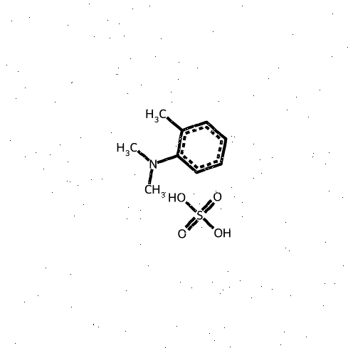 Cc1ccccc1N(C)C.O=S(=O)(O)O